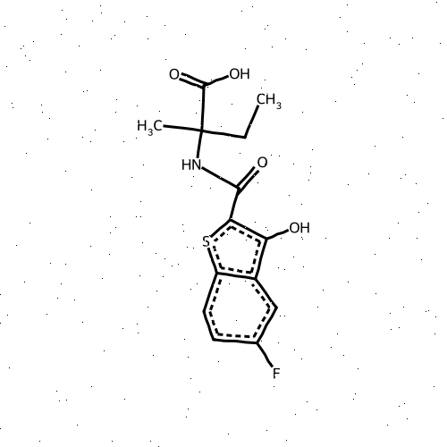 CCC(C)(NC(=O)c1sc2ccc(F)cc2c1O)C(=O)O